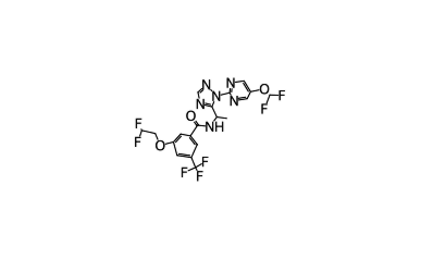 CC(NC(=O)c1cc(OCC(F)F)cc(C(F)(F)F)c1)c1ncnn1-c1ncc(OC(F)F)cn1